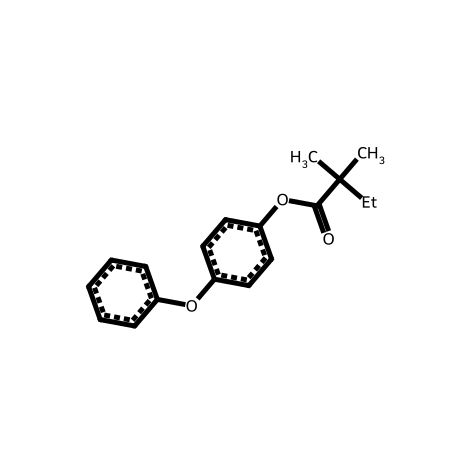 CCC(C)(C)C(=O)Oc1ccc(Oc2ccccc2)cc1